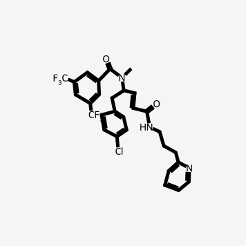 CN(C(=O)c1cc(C(F)(F)F)cc(C(F)(F)F)c1)C(C=CC(=O)NCCCc1ccccn1)Cc1ccc(Cl)cc1